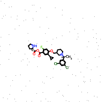 C[C@@H](c1cc(Cl)cc(Cl)c1)N1CCCC(COc2cc(F)c(C(=O)OC(=O)[C@@H]3CCCN3)cc2C2CC2)C1